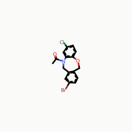 CC(=O)N1Cc2cc(Br)ccc2COc2ccc(Cl)cc21